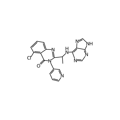 CC(Nc1ncnc2[nH]cnc12)c1nc2cccc(Cl)c2c(=O)n1-c1cccnc1